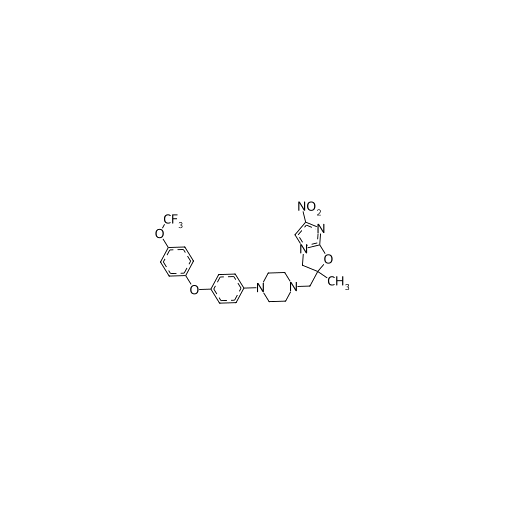 CC1(CN2CCN(c3ccc(Oc4ccc(OC(F)(F)F)cc4)cc3)CC2)Cn2cc([N+](=O)[O-])nc2O1